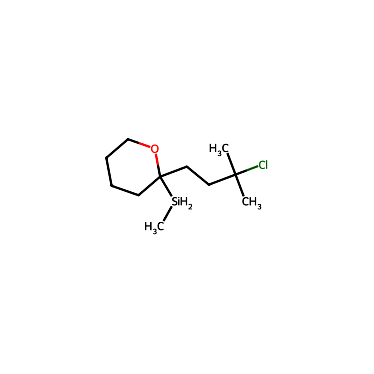 C[SiH2]C1(CCC(C)(C)Cl)CCCCO1